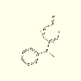 C=C/C=C\C(=C/C)P(C)c1ccccc1